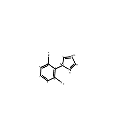 Fc1cccc(F)c1-n1cncn1